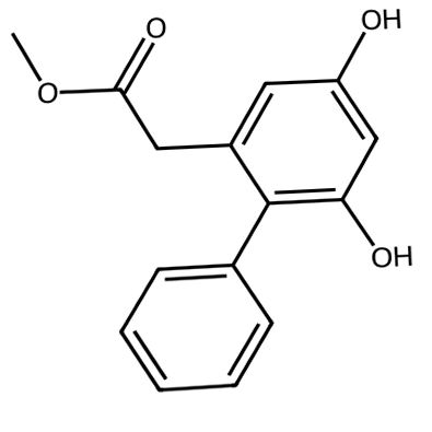 COC(=O)Cc1cc(O)cc(O)c1-c1ccccc1